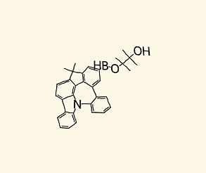 CC1(C)c2cc(BOC(C)(C)C(C)(C)O)cc3c2-c2c1ccc1c4ccccc4n(c21)-c1ccccc1-3